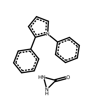 O=C1NN1.c1ccc(-c2cccn2-c2ccccc2)cc1